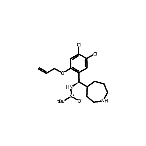 C=CCOc1cc(Cl)c(Cl)cc1[C@H](N[S+]([O-])C(C)(C)C)C1CCCNCC1